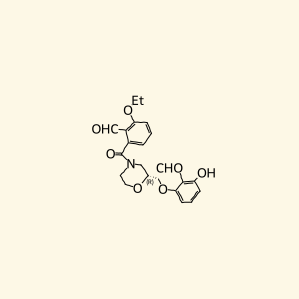 CCOc1cccc(C(=O)N2CCO[C@@H](COc3cccc(O)c3C=O)C2)c1C=O